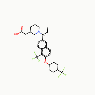 CC[C@@H](c1ccc2c(C(F)(F)F)c(OC3CCC(C(F)(F)F)CC3)ccc2c1)N1CCCC(CC(=O)O)C1